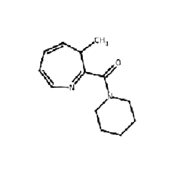 CC1C=CC=CN=C1C(=O)N1CCCCC1